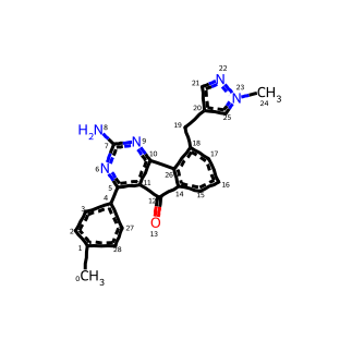 Cc1ccc(-c2nc(N)nc3c2C(=O)c2cccc(Cc4cnn(C)c4)c2-3)cc1